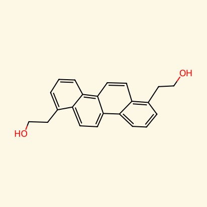 OCCc1cccc2c1ccc1c3cccc(CCO)c3ccc21